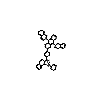 c1ccc(-c2nc(-c3ccc(-c4ccc5c(-c6ccc7ccccc7c6)c6ccccc6c(-c6ccc7ccccc7c6)c5c4)cc3)c3ccc4ccccc4c3n2)cc1